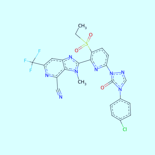 CCS(=O)(=O)c1ccc(-n2ncn(-c3ccc(Cl)cc3)c2=O)nc1-c1nc2cc(C(F)(F)F)nc(C#N)c2n1C